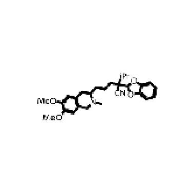 COc1cc2c(cc1OC)CN(C)C(CCCC(C#N)(C(C)C)C1Oc3ccccc3O1)C2